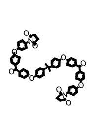 CC(C)(c1ccc(Oc2ccc(C(=O)c3ccc(Oc4ccc(N5C(=O)C=CC5=O)cc4)cc3)cc2)cc1)c1ccc(Oc2ccc(C(=O)c3ccc(Oc4ccc(N5C(=O)C=CC5=O)cc4)cc3)cc2)cc1